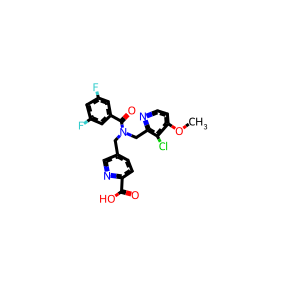 COc1ccnc(CN(Cc2ccc(C(=O)O)nc2)C(=O)c2cc(F)cc(F)c2)c1Cl